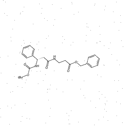 CC(C)(C)OC(=O)N[C@@H](CC(=O)NCCC(=O)OCc1ccccc1)c1ccccc1